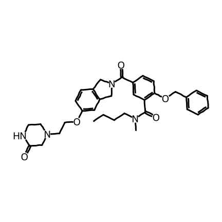 CCCCN(C)C(=O)c1cc(C(=O)N2Cc3ccc(OCCN4CCNC(=O)C4)cc3C2)ccc1OCc1ccccc1